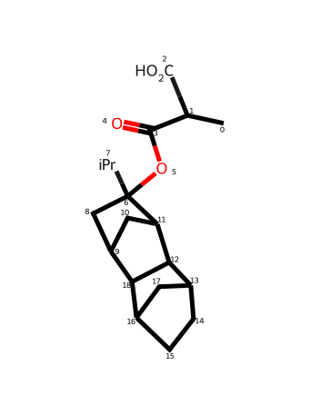 CC(C(=O)O)C(=O)OC1(C(C)C)CC2CC1C1C3CCC(C3)C21